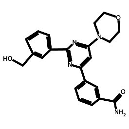 NC(=O)c1cccc(-c2cc(N3CCOCC3)nc(-c3cccc(CO)c3)n2)c1